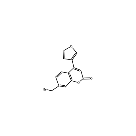 O=c1cc(-c2ccoc2)c2ccc(CBr)cc2o1